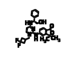 CC1(C)OC(=O)c2ccc(NC3N=C(N[C@H](CO)c4ccccc4)C=CN3CC3CC(F)(F)C3)cc21